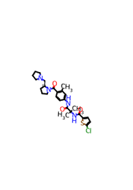 Cc1cc(NC(=O)C(C)(C)NC(=O)c2ccc(Cl)s2)ccc1C(=O)N1CCC[C@H]1CN1CCCC1